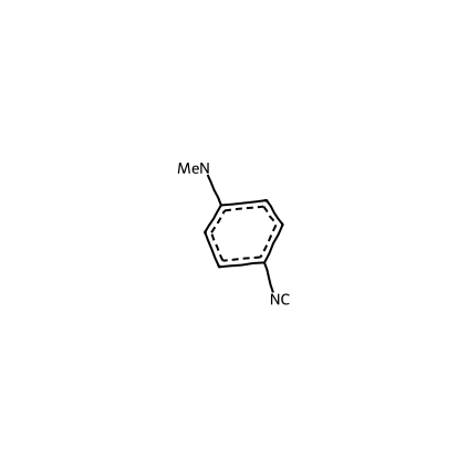 [C-]#[N+]c1ccc(NC)cc1